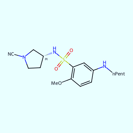 CCCCCNc1ccc(OC)c(S(=O)(=O)N[C@@H]2CCN(C#N)C2)c1